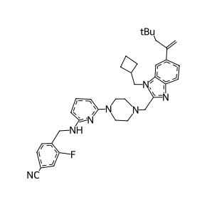 C=C(CC(C)(C)C)c1ccc2nc(CN3CCN(c4cccc(NCc5ccc(C#N)cc5F)n4)CC3)n(CC3CCC3)c2c1